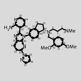 CNCCCN(Cc1ccc(OC)cc1OC)[C@H]1CCc2cc(-n3c(-c4cccnc4N)nc4ccc(-n5cccn5)nc43)ccc21